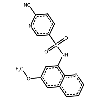 N#Cc1ccc(S(=O)(=O)Nc2cc(OC(F)(F)F)cc3cccnc23)cn1